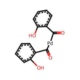 O=[C]([Pd][C](=O)c1ccccc1O)c1ccccc1O